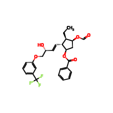 CC[C@@H]1[C@@H](/C=C/[C@@H](O)COc2cccc(C(F)(F)F)c2)[C@H](OC(=O)c2ccccc2)C[C@@H]1OC=O